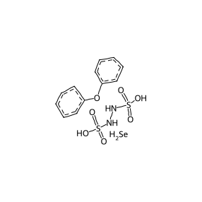 O=S(=O)(O)NNS(=O)(=O)O.[SeH2].c1ccc(Oc2ccccc2)cc1